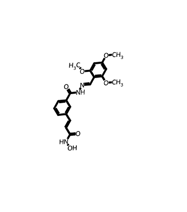 COc1cc(OC)c(/C=N/NC(=O)c2cccc(/C=C/C(=O)NO)c2)c(OC)c1